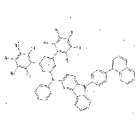 [2H]c1c([2H])c([2H])c(-c2cc(-c3c([2H])c([2H])c([2H])c([2H])c3[2H])cc(N(c3ccccc3)c3ccc4c(c3)c3ccccc3n4-c3ccc(-c4cccc5ccccc45)cc3)c2)c([2H])c1[2H]